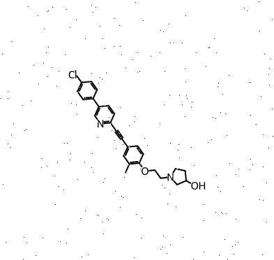 Cc1cc(C#Cc2ccc(-c3ccc(Cl)cc3)cn2)ccc1OCCN1CCC(O)C1